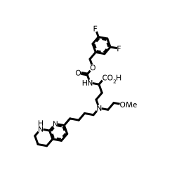 COCCN(CCCCc1ccc2c(n1)NCCC2)CCC(NC(=O)OCc1cc(F)cc(F)c1)C(=O)O